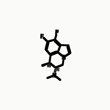 C[C@H]1c2cc(F)c(F)c3ccn(c23)C[C@@H]1N(C)C